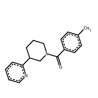 Cc1ccc(C(=O)N2CCCC(c3ccccn3)C2)cc1